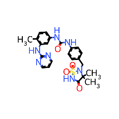 Cc1ccc(NC(=O)Nc2ccc(CN3C(C)(C)C(=O)NS3(=O)=O)cc2)cc1Nc1ncccn1